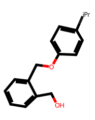 CC(C)c1ccc(OCc2ccccc2CO)cc1